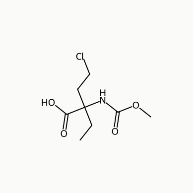 CCC(CCCl)(NC(=O)OC)C(=O)O